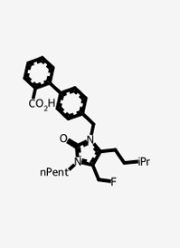 CCCCCn1c(CF)c(CCC(C)C)n(Cc2ccc(-c3ccccc3C(=O)O)cc2)c1=O